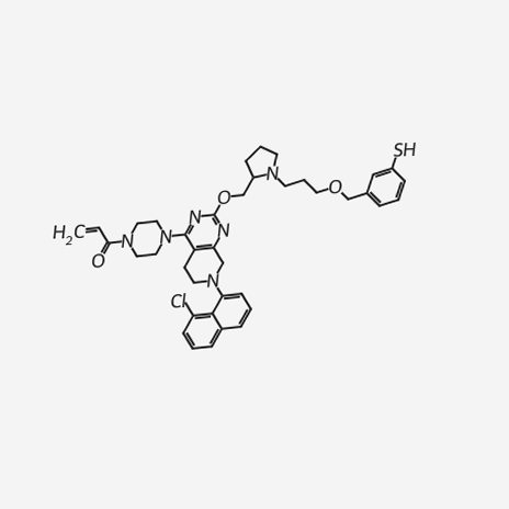 C=CC(=O)N1CCN(c2nc(OCC3CCCN3CCCOCc3cccc(S)c3)nc3c2CCN(c2cccc4cccc(Cl)c24)C3)CC1